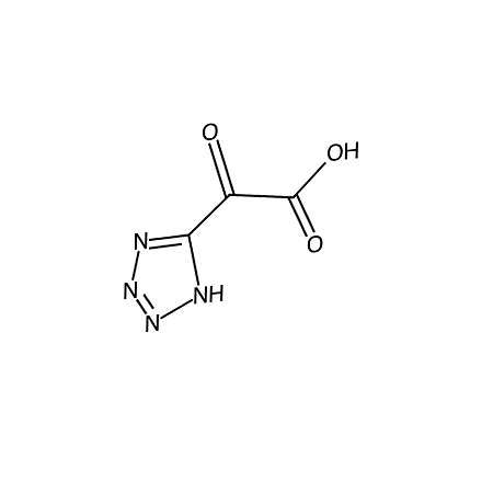 O=C(O)C(=O)c1nnn[nH]1